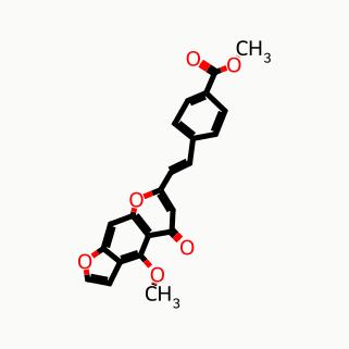 COC(=O)c1ccc(C=Cc2cc(=O)c3c(OC)c4ccoc4cc3o2)cc1